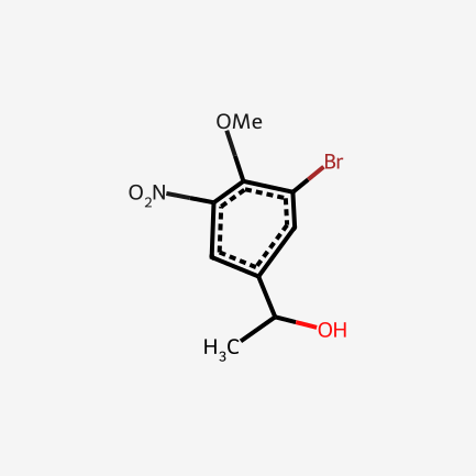 COc1c(Br)cc(C(C)O)cc1[N+](=O)[O-]